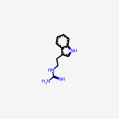 N=C(N)NCCc1c[nH]c2ccccc12